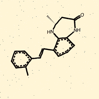 Cc1ccccc1/C=C/c1cccc2c1N[C@H](C)CC(=O)N2